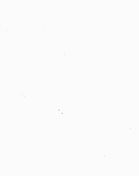 COC(=O)CCN1Cc2c(sc3cc(OC)c(OC)c(Cl)c23)C1=O